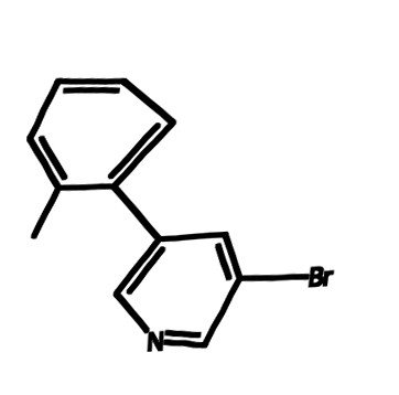 Cc1ccccc1-c1cncc(Br)c1